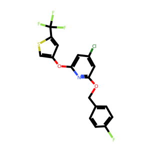 Fc1ccc(COc2cc(Cl)cc(Oc3csc(C(F)(F)F)c3)n2)cc1